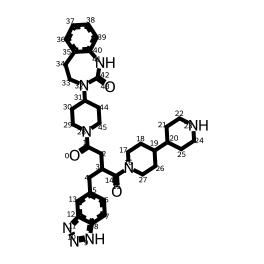 O=C(CC(Cc1ccc2[nH]nnc2c1)C(=O)N1CCC(C2CCNCC2)CC1)N1CCC(N2CCc3ccccc3NC2=O)CC1